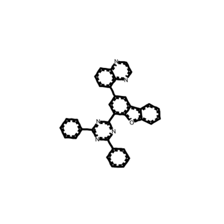 c1ccc(-c2nc(-c3ccccc3)nc(-c3cc(-c4cccc5nccnc45)cc4c3oc3ccccc34)n2)cc1